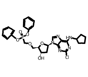 O=P(COC[C@H]1O[C@@H](n2cnc3c(NC4CCCC4)nc(Cl)nc32)C[C@@H]1O)(Oc1ccccc1)Oc1ccccc1